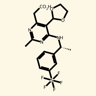 Cc1nc(CC(=O)O)c(C2OCCO2)c(N[C@H](C)c2cccc(S(F)(F)(F)(F)F)c2)n1